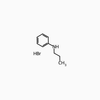 Br.CCCNc1ccccc1